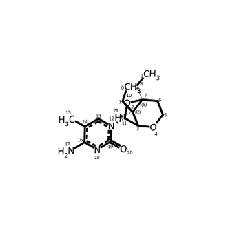 CC[C@@H]1C2OCC[C@]1(CC)O[C@H]2n1cc(C)c(N)nc1=O